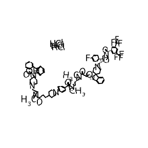 CN(CCN1CCC(N(C(=O)O)c2ccccc2-c2ccccc2)CC1)C(=O)CCC1CCN(c2ccc(C(=O)N(C)CCCN(C)C(=O)CO[C@H]3Cc4ccccc4C34CCN(CC[C@]3(c5ccc(F)cc5)CN(C(=O)c5cc(C(F)(F)F)cc(C(F)(F)F)c5)CO3)CC4)cc2)CC1.Cl.Cl.Cl